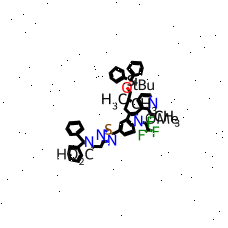 CO[C@@H](C)c1ncccc1-c1c(CC(C)(C)CO[Si](c2ccccc2)(c2ccccc2)C(C)(C)C)c2cc(-c3nc(CC(N=C(c4ccccc4)c4ccccc4)C(=O)O)ns3)ccc2n1C(F)C(F)F